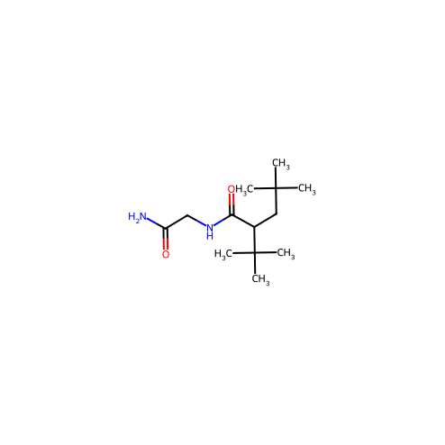 CC(C)(C)CC(C(=O)NCC(N)=O)C(C)(C)C